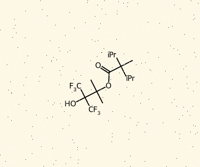 CC(C)C(C)(C(=O)OC(C)(C)C(O)(C(F)(F)F)C(F)(F)F)C(C)C